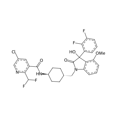 COc1cccc2c1C(O)(c1cccc(F)c1F)C(=O)N2C[C@H]1CC[C@H](NC(=O)c2cc(Cl)cnc2C(F)F)CC1